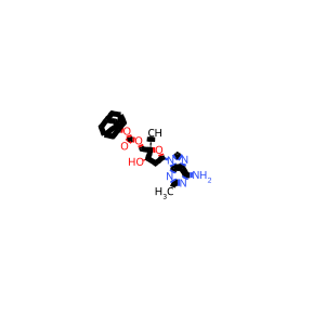 C#C[C@]1(COC(=O)OC23CC4CC(CC(C4)C2)C3)O[C@@H](n2cnc3c(N)nc(C)nc32)C[C@@H]1O